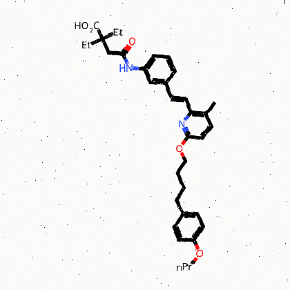 CCCOc1ccc(CCCCOc2ccc(C)c(C=Cc3cccc(NC(=O)CC(CC)(CC)C(=O)O)c3)n2)cc1